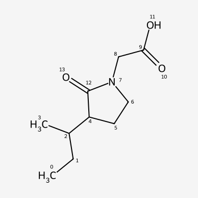 CCC(C)C1CCN(CC(=O)O)C1=O